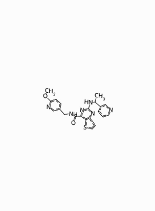 COc1ccc(CNC(=O)c2nc(NC(C)c3cccnc3)nc3ccsc23)cn1